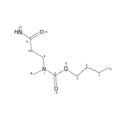 CCCCOC(=O)N(C)CCC([NH])=O